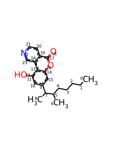 CCCCCC(C)C(C)c1cc(O)c2c(c1)oc(=O)c1ccncc12